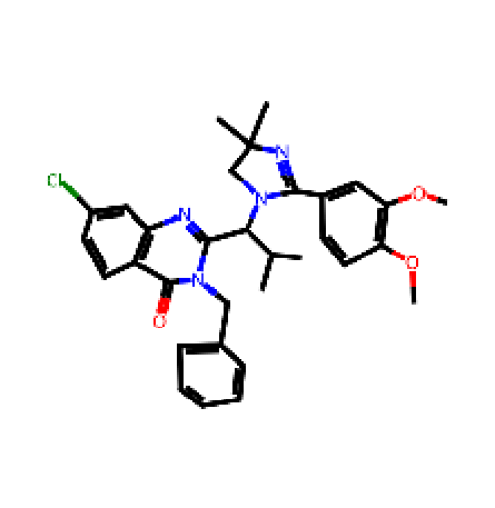 COc1ccc(C2=NC(C)(C)CN2C(c2nc3cc(Cl)ccc3c(=O)n2Cc2ccccc2)C(C)C)cc1OC